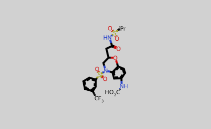 CC(C)S(=O)(=O)NC(=O)CC1CN(S(=O)(=O)c2cccc(C(F)(F)F)c2)c2cc(NC(=O)O)ccc2O1